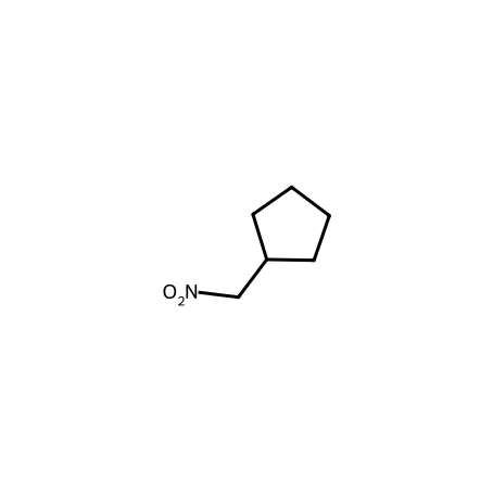 O=[N+]([O-])CC1CCCC1